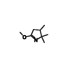 COC1=NC(C)(C)C(C)C1